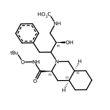 CC(C)(C)ONC(=O)[C@@H]1C[C@@H]2CCCC[C@@H]2CN1C(Cc1ccccc1)[C@H](O)CNC(=O)O